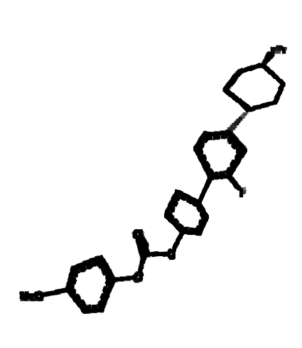 CCC[C@H]1CC[C@H](c2ccc(-c3ccc(OC(=O)Oc4ccc(OC)cc4)cc3)c(F)c2)CC1